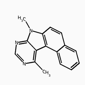 Cc1ncnc2c1c1c3ccccc3ccc1n2C